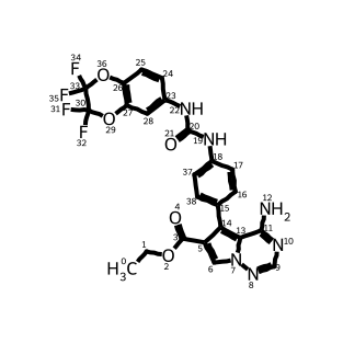 CCOC(=O)c1cn2ncnc(N)c2c1-c1ccc(NC(=O)Nc2ccc3c(c2)OC(F)(F)C(F)(F)O3)cc1